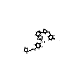 FC(F)(F)c1cccc(Cn2cc(-c3cccc4nc(Nc5ccc(CCCN6CCCC6)cc5)nn34)cn2)c1